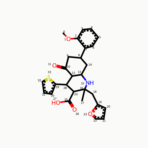 COc1ccccc1C1CC(=O)C2C(C1)NC(C)(Cc1ccco1)C(C(=O)O)C2c1cccs1